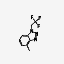 Cc1cccc2c1nnn2CC(F)(F)F